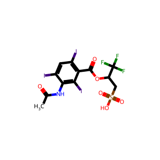 CC(=O)Nc1c(I)cc(I)c(C(=O)OC(CS(=O)(=O)O)C(F)(F)F)c1I